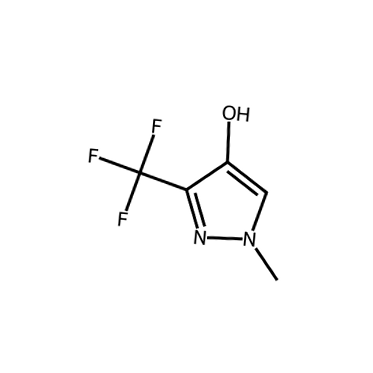 Cn1cc(O)c(C(F)(F)F)n1